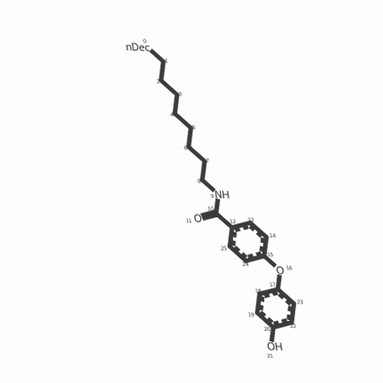 CCCCCCCCCCCCCCCCCCNC(=O)c1ccc(Oc2ccc(O)cc2)cc1